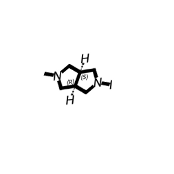 CN1C[C@@H]2CN(I)C[C@@H]2C1